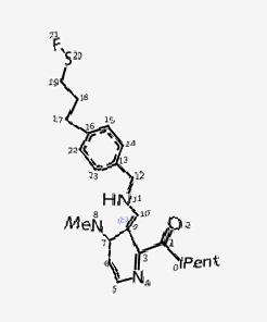 CCCC(C)C(=O)C1=NC=CC(NC)/C1=C\NCc1ccc(CCCSF)cc1